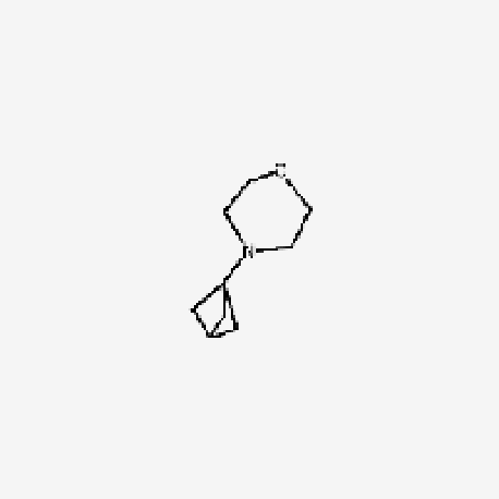 C1CN(C23CC(C2)C3)CCO1